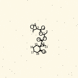 CC(OC(=O)C1COC1)OC(=O)N(C)C1CCCCC1=O